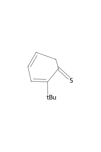 CC(C)(C)C1=CC=CCC1=S